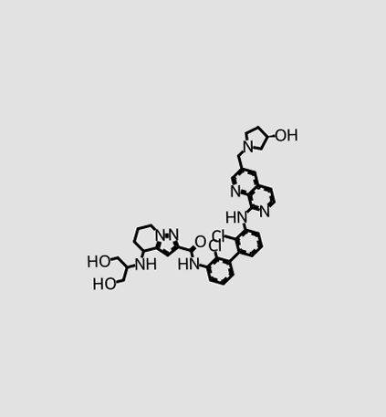 O=C(Nc1cccc(-c2cccc(Nc3nccc4cc(CN5CC[C@@H](O)C5)cnc34)c2Cl)c1Cl)c1cc2n(n1)CCCC2NC(CO)CO